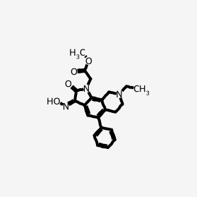 CCN1CCc2c(-c3ccccc3)cc3c(c2C1)N(CC(=O)OC)C(=O)/C3=N\O